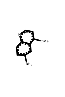 Bc1ccc2nccc(OC)c2c1